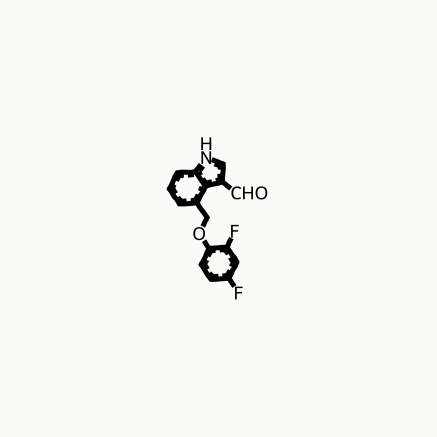 O=Cc1c[nH]c2cccc(COc3ccc(F)cc3F)c12